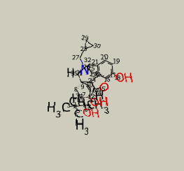 CC(C)(C)C(C)(O)[C@H]1C[C@@]23C=C[C@]1(O)[C@@H]1Oc4c(O)ccc5c4[C@@]12CCN(CC1CC1)[C@@H]3C5